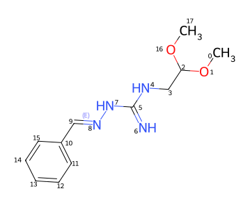 COC(CNC(=N)N/N=C/c1ccccc1)OC